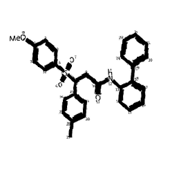 COc1ccc(S(=O)(=O)C(CC(=O)Nc2ccccc2-c2ccccc2)c2ccc(C)cc2)cc1